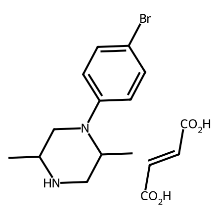 CC1CN(c2ccc(Br)cc2)C(C)CN1.O=C(O)/C=C/C(=O)O